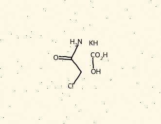 NC(=O)CCl.O=C(O)O.[KH]